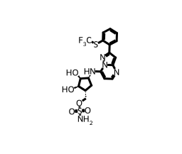 NS(=O)(=O)OC[C@H]1C[C@@H](Nc2ccnc3cc(-c4ccccc4SC(F)(F)F)nn23)[C@H](O)[C@@H]1O